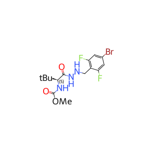 COC(=O)N[C@H](C(=O)NNCc1c(F)cc(Br)cc1F)C(C)(C)C